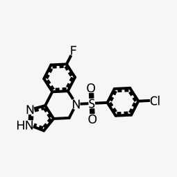 O=S(=O)(c1ccc(Cl)cc1)N1Cc2c[nH]nc2-c2ccc(F)cc21